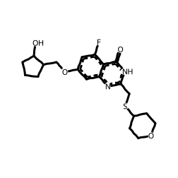 O=c1[nH]c(CSC2CCOCC2)nc2cc(OCC3CCCC3O)cc(F)c12